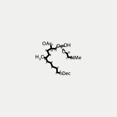 CCCCCCCCCCCCCCCC(C)CCC(COP(O)OCCNC)OC(C)=O